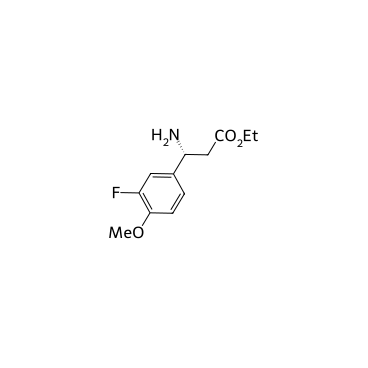 CCOC(=O)C[C@@H](N)c1ccc(OC)c(F)c1